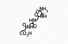 C[C@H](NC(=O)CNC(=O)CNC(=O)CCC(=O)O)C(N)=O